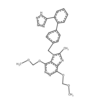 COCOc1nnc(OCOC)c2c1nc(C)n2Cc1ccc(-c2ccccc2-c2nnn[nH]2)cc1